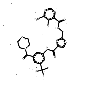 Nc1ncnc(C(=O)NCc2ncc(C(=O)Nc3cc(C(=O)N4CCOCC4)cc(C(F)(F)F)c3)s2)c1Cl